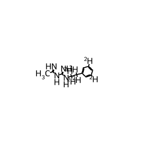 [2H]c1cc([2H])cc(C([2H])([2H])C([2H])([2H])NC(=N)NC(C)=N)c1